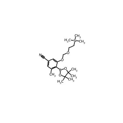 Cc1cc(C#N)cc(OCOCC[Si](C)(C)C)c1B1OC(C)(C)C(C)(C)O1